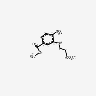 CCOC(=O)CCNc1cc(C(=O)OC(C)(C)C)ccc1[N+](=O)[O-]